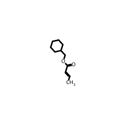 CC=CC(=O)OCC1CCCCC1